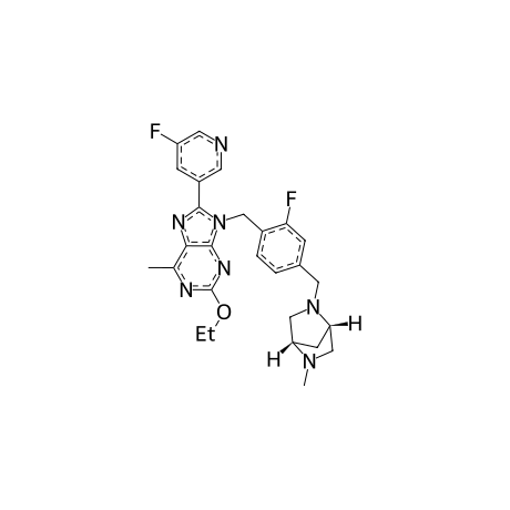 CCOc1nc(C)c2nc(-c3cncc(F)c3)n(Cc3ccc(CN4C[C@@H]5C[C@H]4CN5C)cc3F)c2n1